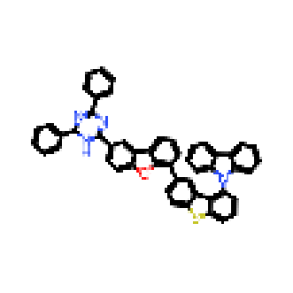 c1ccc(C2=NC(c3ccccc3)NC(c3ccc4oc5c(-c6ccc7sc8cccc(-n9c%10ccccc%10c%10ccccc%109)c8c7c6)cccc5c4c3)=N2)cc1